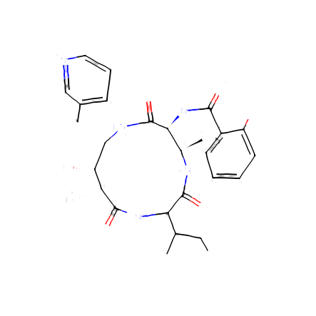 CCC(C)C1NC(=O)[C@H](C)[C@H](O)[C@H](Cc2cccnc2)NC(=O)[C@@H](NC(=O)c2ccccc2O)[C@@H](C)NC1=O